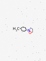 Cc1ccc(N2CCCO2)cc1